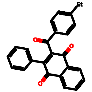 CCc1ccc(C(=O)C2=C(c3ccccc3)C(=O)c3ccccc3C2=O)cc1